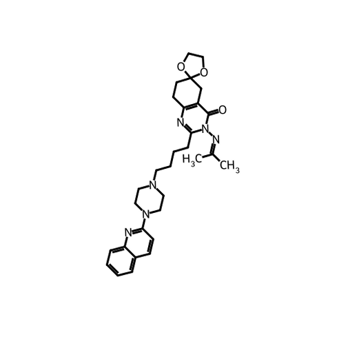 CC(C)=Nn1c(CCCCN2CCN(c3ccc4ccccc4n3)CC2)nc2c(c1=O)CC1(CC2)OCCO1